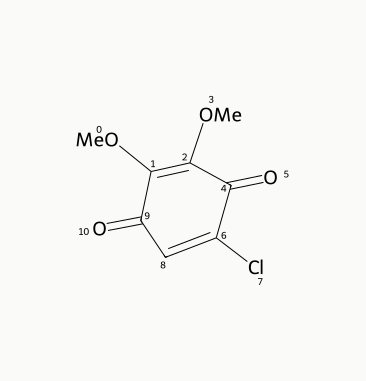 COC1=C(OC)C(=O)C(Cl)=CC1=O